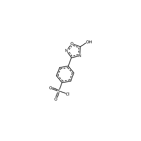 O=S(=O)(Cl)c1ccc(-c2noc(O)n2)cc1